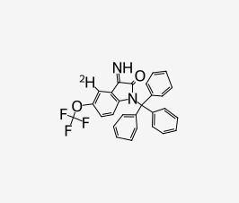 [2H]c1c(OC(F)(F)F)ccc2c1C(=N)C(=O)N2C(c1ccccc1)(c1ccccc1)c1ccccc1